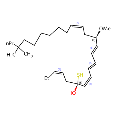 CC/C=C\C[C@](O)(S)\C=C/C=C/C=C/[C@@H](C/C=C\CCCCCCC(C)(C)CCC)OC